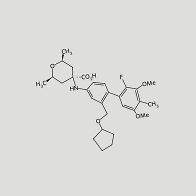 COc1cc(-c2ccc(N[C@@]3(C(=O)O)C[C@@H](C)O[C@@H](C)C3)cc2COC2CCCC2)c(F)c(OC)c1C